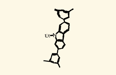 CCn1c2cc(-c3cc(C)cc(C)c3)ccc2c2ccc(-c3cc(C)cc(C)c3)cc21